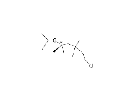 CC(C)O[C@@](C)(I)CC(C)(C)CCCl